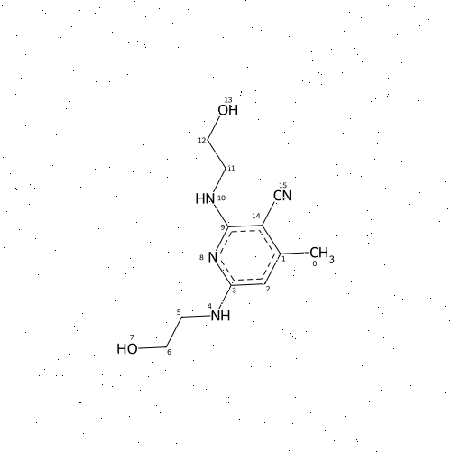 Cc1cc(NCCO)nc(NCCO)c1C#N